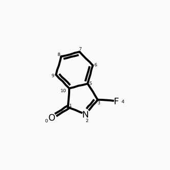 O=C1N=C(F)c2ccccc21